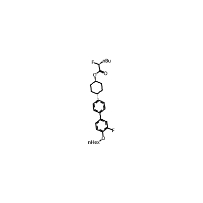 CCCCCCOc1ccc(-c2ccc([C@H]3CC[C@H](OC(=O)[C@@H](F)CCCC)CC3)cc2)cc1F